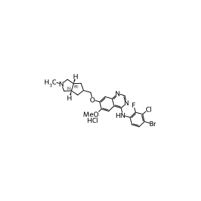 COc1cc2c(Nc3ccc(Br)c(Cl)c3F)ncnc2cc1OCC1C[C@@H]2CN(C)C[C@@H]2C1.Cl